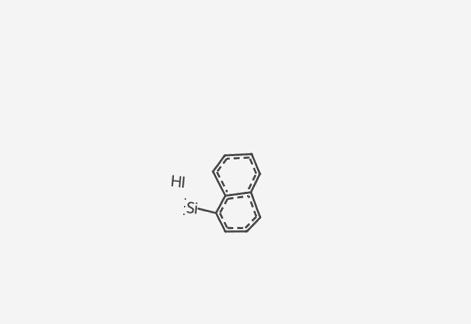 I.[Si]c1cccc2ccccc12